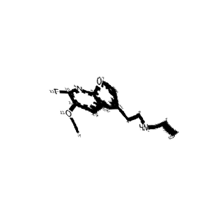 CCNCCc1coc2nc(F)c(OC)cc12